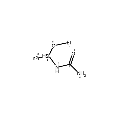 CCC[SiH](NC(N)=O)OCC